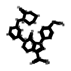 COc1ccc(-n2nc(C(N)=O)c3c2C(=O)N(C2=CC(CN4CCCCC4=O)CC=C2)CC3)cc1